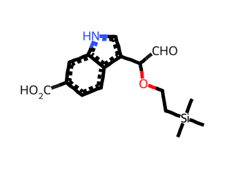 C[Si](C)(C)CCOC(C=O)c1c[nH]c2cc(C(=O)O)ccc12